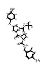 Cc1nc(N)ccc1CNC(=O)[C@@H]1CCN1C(=O)[C@H]1C[C@H](Cc2ccc(Br)cc2)CN1C(=O)OC(C)(C)C